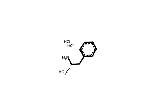 Cl.Cl.N[C@H](Cc1ccccc1)C(=O)O